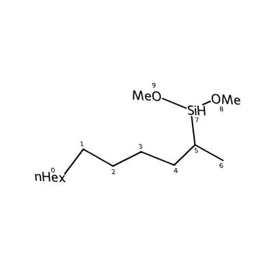 CCCCCCCCCCC(C)[SiH](OC)OC